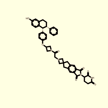 O=C1CCC(N2C(=O)c3cc4c(cc3C2=O)CC2(C4)CN(CC(=O)N3CC(Oc4ccc([C@@H]5c6ccc(O)cc6CC[C@@H]5c5ccccc5)cc4)C3)C2)C(=O)N1